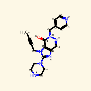 CC#CCn1c(N2CCNCC2)nc2cnn(Cc3ccncc3)c(=O)c21